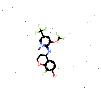 Cn1cc(C(F)(F)F)cc(OC(F)F)/c1=N/C1CCOc2c1ccc(Br)c2F